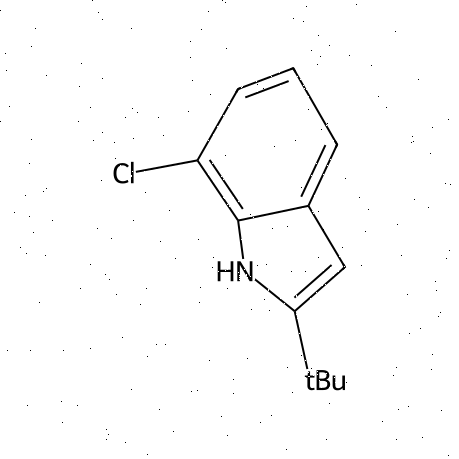 CC(C)(C)c1cc2cccc(Cl)c2[nH]1